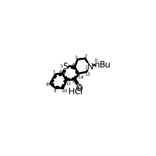 CCCCN1CCc2sc3ccccc3c(=O)c2C1.Cl